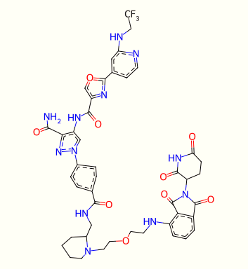 NC(=O)c1nn(-c2ccc(C(=O)NCC3CCCCN3CCOCCNc3cccc4c3C(=O)N(C3CCC(=O)NC3=O)C4=O)cc2)cc1NC(=O)c1coc(-c2ccnc(NCC(F)(F)F)c2)n1